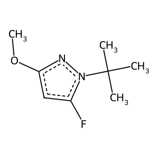 COc1cc(F)n(C(C)(C)C)n1